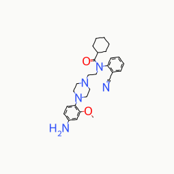 COc1cc(N)ccc1N1CCN(CCN(C(=O)C2CCCCC2)c2ccccc2C#N)CC1